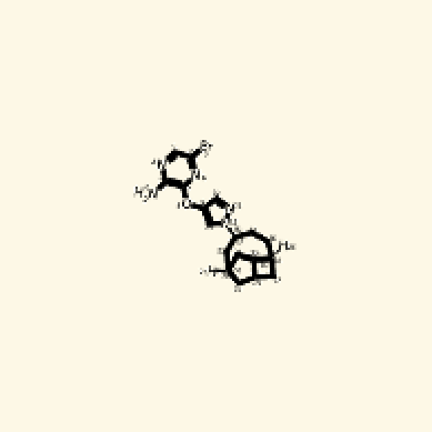 Nc1ncc(Br)nc1Oc1cnn([C@H]2CC[C@H]3CC4C[C@@H](CC43)C2)c1